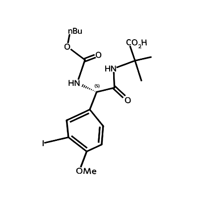 CCCCOC(=O)N[C@H](C(=O)NC(C)(C)C(=O)O)c1ccc(OC)c(I)c1